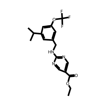 CCOC(=O)c1cnc(NCc2cc(OC(F)(F)F)cc(C(C)C)c2)nc1